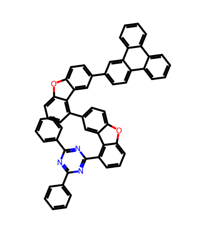 c1ccc(-c2nc(-c3ccccc3)nc(-c3cccc4oc5ccc(-c6cccc7oc8ccc(-c9ccc%10c%11ccccc%11c%11ccccc%11c%10c9)cc8c67)cc5c34)n2)cc1